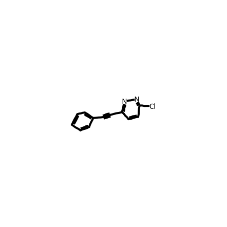 Clc1ccc(C#Cc2ccccc2)nn1